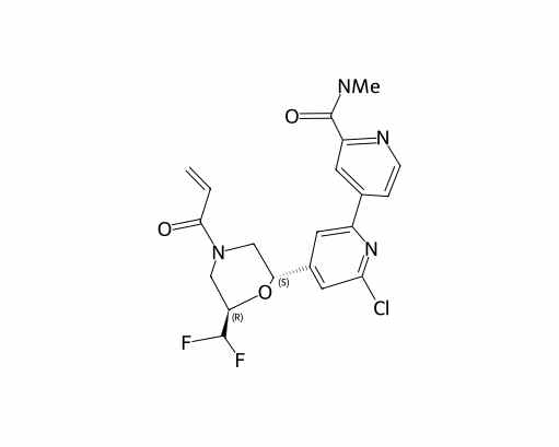 C=CC(=O)N1C[C@H](c2cc(Cl)nc(-c3ccnc(C(=O)NC)c3)c2)O[C@@H](C(F)F)C1